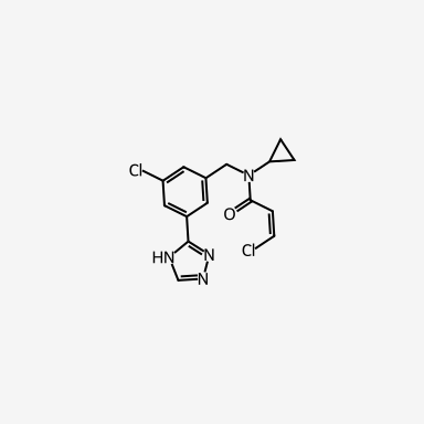 O=C(/C=C\Cl)N(Cc1cc(Cl)cc(-c2nnc[nH]2)c1)C1CC1